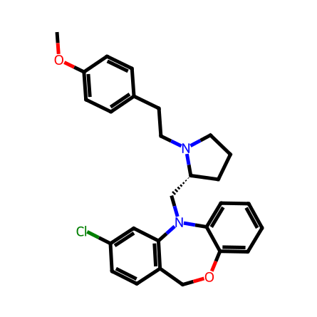 COc1ccc(CCN2CCC[C@@H]2CN2c3cc(Cl)ccc3COc3ccccc32)cc1